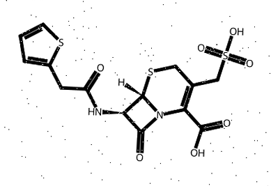 O=C(Cc1cccs1)N[C@@H]1C(=O)N2C(C(=O)O)=C(CS(=O)(=O)O)CS[C@@H]12